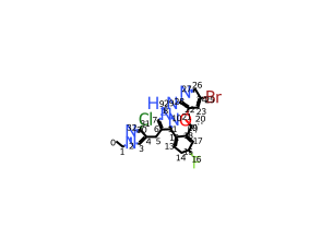 CCn1cc(Cc2cn(C)nc2C2=CCC(F)C=C2[C@@H](C)Oc2cc(Br)cnc2N)c(Cl)n1